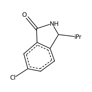 CC(C)C1NC(=O)c2cc(Cl)ccc21